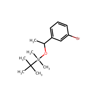 CC(O[Si](C)(C)C(C)(C)C)c1cccc(Br)c1